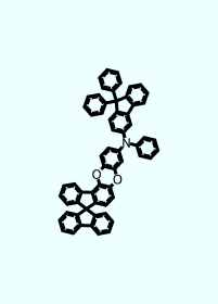 c1ccc(N(c2ccc3c(c2)Oc2ccc4c(c2O3)-c2ccccc2C42c3ccccc3-c3ccccc32)c2ccc3c(c2)-c2ccccc2C3(c2ccccc2)c2ccccc2)cc1